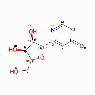 O=C1C=C([C@@H]2O[C@H](CO)[C@@H](O)[C@H]2O)N=CC1